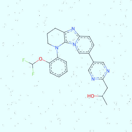 CC(O)Cc1ncc(-c2ccc3nc4c(n3c2)N(c2ccccc2OC(F)F)CCC4)cn1